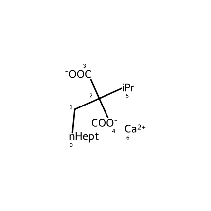 CCCCCCCCC(C(=O)[O-])(C(=O)[O-])C(C)C.[Ca+2]